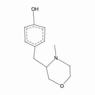 CN1CCOCC1Cc1ccc(O)cc1